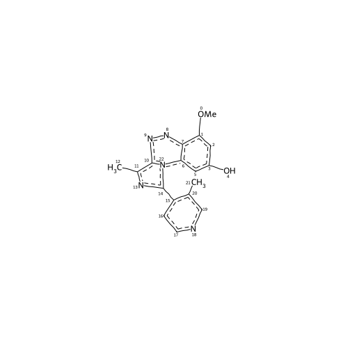 COc1cc(O)cc2c1nnc1c(C)nc(-c3ccncc3C)n12